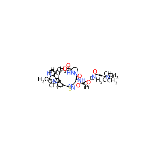 CO[C@@H](C)c1ncccc1-c1c2c3cc(ccc3n1CC(F)(F)F)-c1nc(ns1)C[C@H](NC(=O)[C@@H](COC1CN(C(=O)C#CC(C)(C)N(C)C)C1)C(C)C)C(=O)N1CCC[C@@]([SiH3])(N1)C(=O)OCC(C)(C)C2